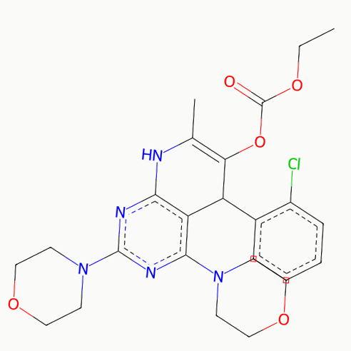 CCOC(=O)OC1=C(C)Nc2nc(N3CCOCC3)nc(N3CCOCC3)c2C1c1ccccc1Cl